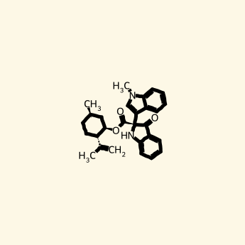 C=C(C)[C@@H]1CC[C@@H](C)C[C@H]1OC(=O)[C@]1(c2cn(C)c3ccccc23)Nc2ccccc2C1=O